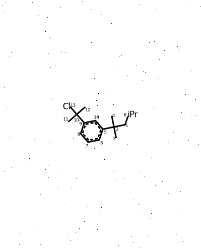 CC(C)CC(C)(C)c1cccc(C(C)(C)Cl)c1